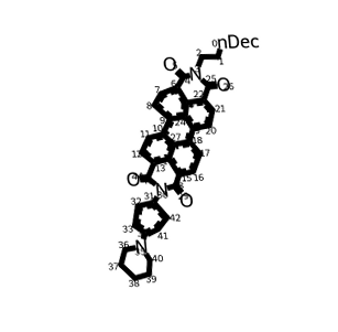 CCCCCCCCCCCCN1C(=O)c2ccc3c4ccc5c6c(ccc(c7ccc(c2c37)C1=O)c64)C(=O)N(c1ccc(N2CCCCC2)cc1)C5=O